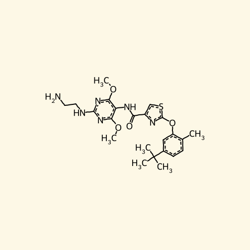 COc1nc(NCCN)nc(OC)c1NC(=O)c1csc(Oc2cc(C(C)(C)C)ccc2C)n1